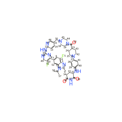 Cc1nc2c(F)cc(-c3nc(Nc4ccc(CN5CCN(C(=O)C6CCN(c7ccc(NC8CCC(=O)NC8=O)cc7)CC6)CC5)cn4)ncc3F)cc2n1C(C)C